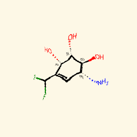 N[C@@H]1C=C(C(F)F)[C@H](O)[C@H](O)[C@H]1O